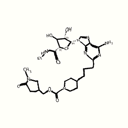 CCNC(=O)[C@H]1O[C@@H](n2cnc3c(N)nc(CCCC4CCN(C(=O)OCC5CC(=O)N(C)C5)CC4)nc32)[C@@H](O)C1O